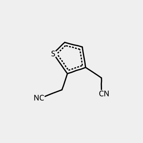 N#CCc1ccsc1CC#N